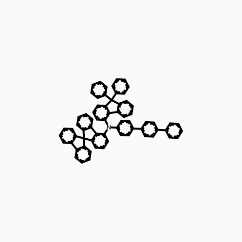 c1ccc(-c2ccc(-c3ccc(N(c4cccc5c4-c4ccccc4C5(c4ccccc4)c4ccccc4)c4cccc5c4-c4ccccc4C54c5ccccc5-c5ccccc54)cc3)cc2)cc1